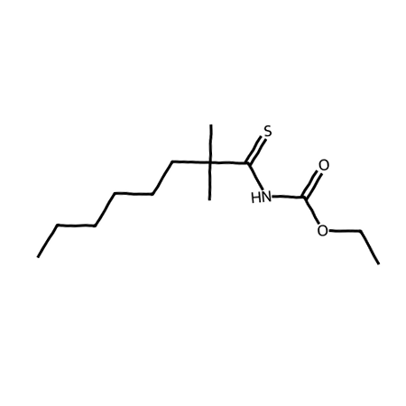 CCCCCCC(C)(C)C(=S)NC(=O)OCC